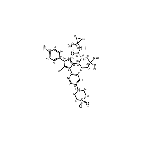 Cc1c(-c2ccc(N3CCS(=O)(=O)CC3)cc2)c([C@@H]2CCC(F)(F)C[C@H]2C(=O)NC2(C#N)CC2)nn1-c1ccc(F)cc1